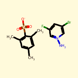 Cc1cc(C)c(S(=O)(=O)[O-])c(C)c1.N[n+]1cc(F)cc(Br)c1